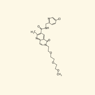 COCCOCCOCCn1ccc2nc(C)c(C(=O)NCc3ccc(Cl)cn3)cc2c1=O